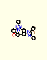 c1ccc(-c2nc(-c3ccccc3)nc(-c3cccc4oc5ccc(-c6ccc(-c7nc(-c8ccccc8)c8sc9ccccc9c8n7)cc6)cc5c34)n2)cc1